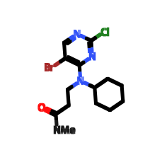 CNC(=O)CCN(c1nc(Cl)ncc1Br)C1CCCCC1